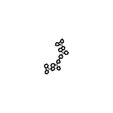 c1ccc(N(c2ccc(-c3ccc(N(c4ccccc4)c4cccc5c(-n6c7ccccc7c7ccccc76)cccc45)cc3)cc2)c2cccc3c(-n4c5ccccc5c5ccccc54)cccc23)cc1